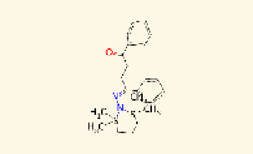 C[Si]1(C)CCC[Si](C)(C)N1N=C(CCC(=O)c1ccccc1)c1ccccc1